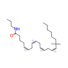 CCCCCCC(C)(C)/C=C\C/C=C\C/C=C\C/C=C\CCCC(=O)NCCC